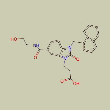 O=C(O)CCn1c(=O)n(Cc2cccc3ccccc23)c2ccc(C(=O)NCCO)cc21